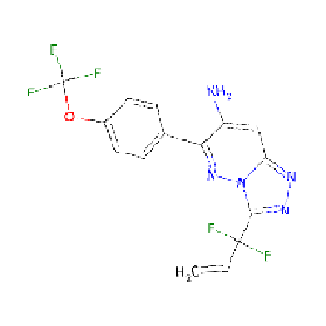 C=CC(F)(F)c1nnc2cc(N)c(-c3ccc(OC(F)(F)F)cc3)nn12